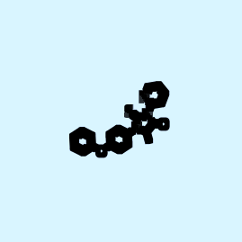 CC1C(=O)N(c2ccccn2)C(=S)N1c1ccc(Oc2ccccc2)cc1